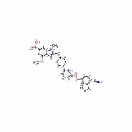 COc1cc(C(=O)O)cc2c1nc(CN1CCC(c3cccc(OCc4ccc(C#N)c5c4OCC5)n3)CC1)n2C